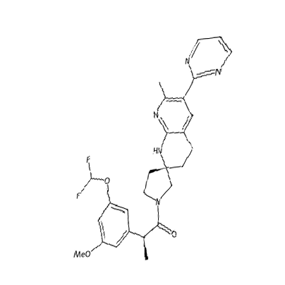 COc1cc(OC(F)F)cc([C@H](C)C(=O)N2CC[C@@]3(CCc4cc(-c5ncccn5)c(C)nc4N3)C2)c1